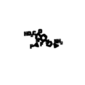 NC1([C@@H]2CCN(c3ccc4c(=O)c(C(=O)O)cn([C@@H]5C[C@H]5F)c4c3F)C2)CC1